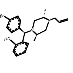 C=CCN1C[C@@H](C)N([C@H](c2ccc(Br)cc2)c2ccccc2O)C[C@@H]1C